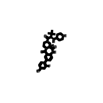 CC(C)(C)[C@H](NC1CCNCC1)C(=O)N1CCN2C(=O)c3cc(-c4ccc(Cl)cc4F)ccc3NC(=O)[C@H]2C1